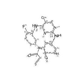 C=CC(=O)Nc1ccc(F)c(Nc2nc(Nc3ccc(=O)[nH]c3)ncc2Cl)c1